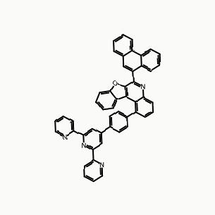 c1ccc(-c2cc(-c3ccc(-c4cccc5nc(-c6cc7ccccc7c7ccccc67)c6oc7ccccc7c6c45)cc3)cc(-c3ccccn3)n2)nc1